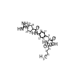 CCCCS(=O)(=O)N[C@@H](Cc1ccc(NC(=O)C2CCN(C(=N)N)CC2)cc1)C(=O)O